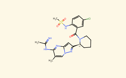 CC(=N)Nc1nc2cc([C@@H]3CCCCN3C(=O)c3cc(Cl)ccc3NS(C)(=O)=O)nn2cc1C